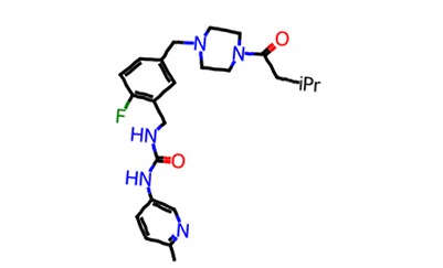 Cc1ccc(NC(=O)NCc2cc(CN3CCN(C(=O)CC(C)C)CC3)ccc2F)cn1